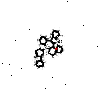 O=P1(c2ccccc2)C2=C(c3ccccc3N(c3ccc4oc5ccccc5c4c3)c3ccccc32)c2ccccc21